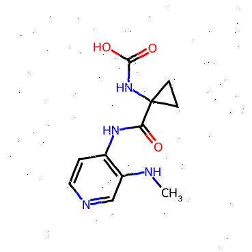 CNc1cnccc1NC(=O)C1(NC(=O)O)CC1